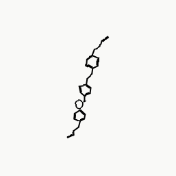 C=CCCc1ccc(CCc2ccc(COc3ccc(CCC=C)cc3)cc2)cc1